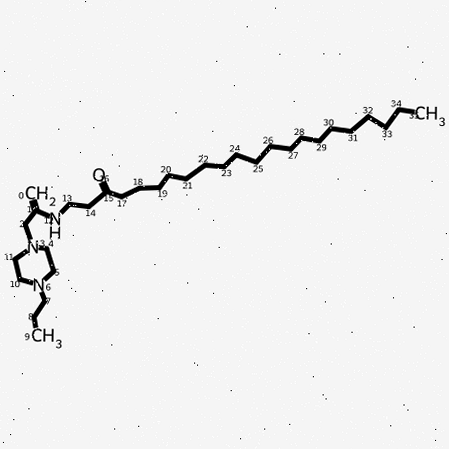 C=C(CN1CCN(CCC)CC1)NCCC(=O)CCCCCCCCCCCCCCCCCCC